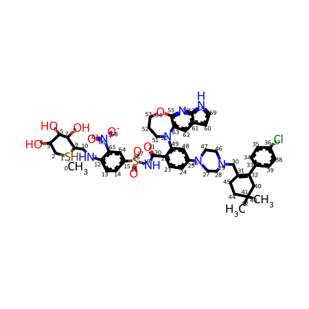 C[SH]1CC(O)C(O)C(O)C1CNc1ccc(S(=O)(=O)NC(=O)c2ccc(N3CCN(CC4=C(c5ccc(Cl)cc5)CC(C)(C)CC4)CC3)cc2N2CCCOc3nc4[nH]ccc4cc32)cc1[N+](=O)[O-]